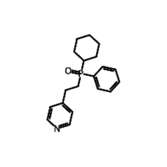 O=P(CCc1ccncc1)(c1ccccc1)C1CCCCC1